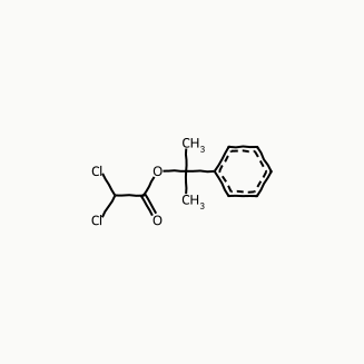 CC(C)(OC(=O)C(Cl)Cl)c1ccccc1